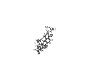 CC(C)C[C@@H](CO)n1cnc2cc(N=C(NC3C[C@@H]4C[C@@H]([C@H]3C)C4(C)C)N3CCN[C@@H](C)C3)ccc2c1=O